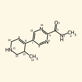 CNC(=O)c1ncc(C2=CCNCC2C)cn1